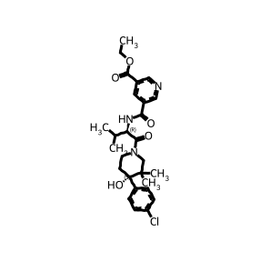 CCOC(=O)c1cncc(C(=O)N[C@@H](C(=O)N2CC[C@](O)(c3ccc(Cl)cc3)C(C)(C)C2)C(C)C)c1